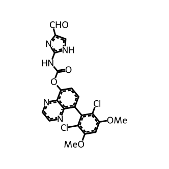 COc1cc(OC)c(Cl)c(-c2ccc(OC(=O)Nc3nc(C=O)c[nH]3)c3nccnc23)c1Cl